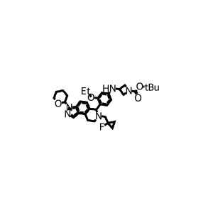 CCOc1cc(NC2CN(C(=O)OC(C)(C)C)C2)ccc1C1c2ccc3c(cnn3C3CCCCO3)c2CCN1CC1(F)CC1